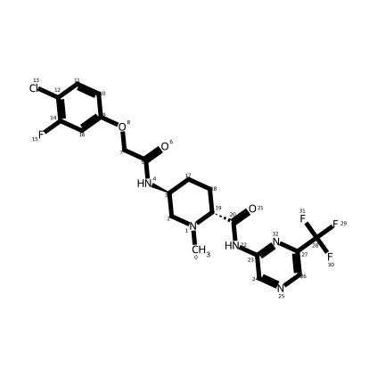 CN1C[C@@H](NC(=O)COc2ccc(Cl)c(F)c2)CC[C@@H]1C(=O)Nc1cncc(C(F)(F)F)n1